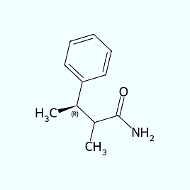 CC(C(N)=O)[C@@H](C)c1ccccc1